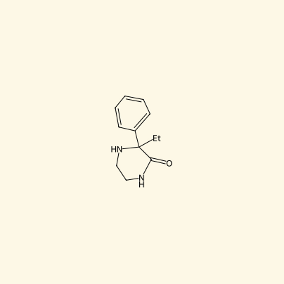 CCC1(c2ccccc2)NCCNC1=O